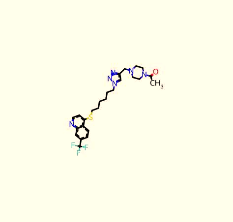 CC(=O)N1CCN(Cc2cn(CCCCCCSc3ccnc4cc(C(F)(F)F)ccc34)nn2)CC1